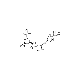 Cc1ccc(C(=O)Nc2cc(-n3ccnc3C)cc(C(F)(F)F)c2)cc1C#Cc1cnc(NC=O)nc1